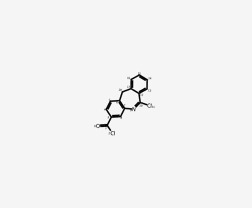 O=C(Cl)c1ccc2c(c1)N=C(Cl)c1ccccc1C2